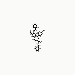 COc1ccc(C2CN(C(=O)OCc3ccccc3)CCc3cc(OC)c(SCc4ccccc4)cc32)cc1